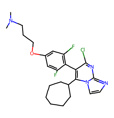 CN(C)CCCOc1cc(F)c(-c2c(Cl)nc3nccn3c2C2CCCCCC2)c(F)c1